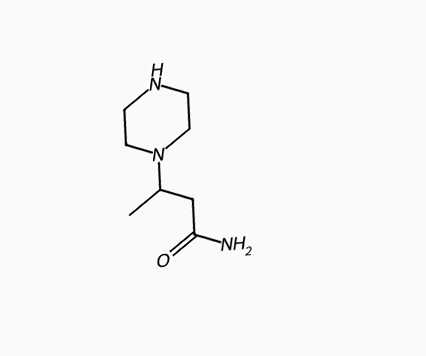 CC(CC(N)=O)N1CCNCC1